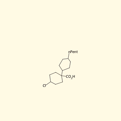 CCCCCC1CCC(C2(C(=O)O)CCC(Cl)CC2)CC1